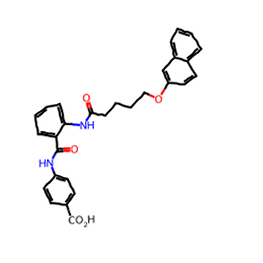 O=C(CCCCOc1ccc2ccccc2c1)Nc1ccccc1C(=O)Nc1ccc(C(=O)O)cc1